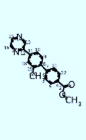 COC(=O)c1ccc(-c2ccc(-c3cnccn3)cc2C)cc1